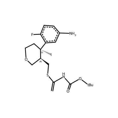 C=C(NC(=O)OC(C)(C)C)SC[C@H]1COCC[C@@]1(I)c1cc(N)ccc1F